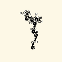 CC(C)(C)OC(=O)NCC(C(=O)NCCC(=O)Nc1cc(COC(=O)Nc2cccc(C(=O)N3CCC(CCCCNC(=O)/C=C/c4cccnc4)CC3)c2)ccc1O[C@@H]1O[C@H](C(=O)O)[C@@H](O)[C@H](O)[C@H]1O)N1C(=O)C=CC1=O